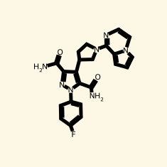 NC(=O)c1nn(-c2ccc(F)cc2)c(C(N)=O)c1C1CCN(c2nccn3cccc23)C1